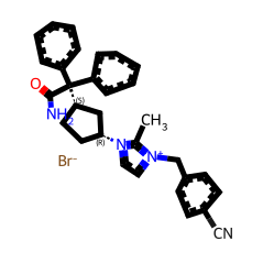 Cc1n([C@@H]2CC[C@H](C(C(N)=O)(c3ccccc3)c3ccccc3)C2)cc[n+]1Cc1ccc(C#N)cc1.[Br-]